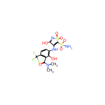 CN(C)C(=O)c1c(C(F)(F)F)ccc(NC2=C(S(N)(=O)=O)S(=O)(=O)N=C2O)c1O